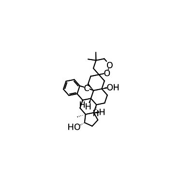 CC1(C)COOC2(CC[C@@]34Cc5ccccc5[C@H]5C[C@]6(C)[C@@H](O)CC[C@H]6[C@H](CC[C@@]3(O)C2)[C@H]54)C1